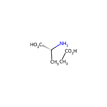 CC(=O)O.C[C@@H](N)C(=O)O